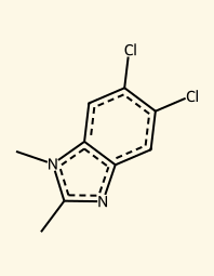 Cc1nc2cc(Cl)c(Cl)cc2n1C